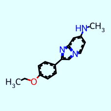 CCOc1ccc(-c2cn3ccc(NC)cc3n2)cc1